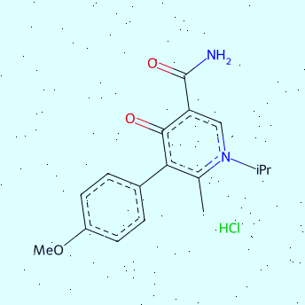 COc1ccc(-c2c(C)n(C(C)C)cc(C(N)=O)c2=O)cc1.Cl